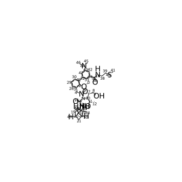 COc1c(CN2O[C@@H](CO)[C@@H]([C@H](C)O)[C@H]2C(=O)N[C@H]2C[C@H]3C[C@@H]([C@@H]2C)C3(C)C)cccc1-c1cc(C(=O)NCCSC)cc(N(C)C)c1